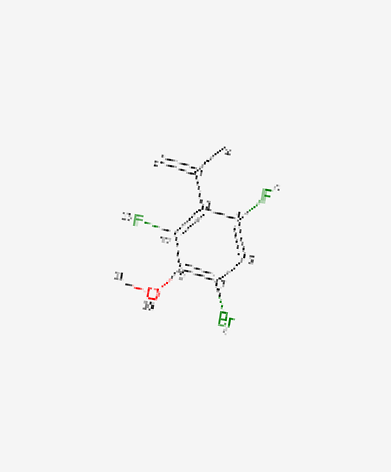 C=C(C)c1c(F)cc(Br)c(OC)c1F